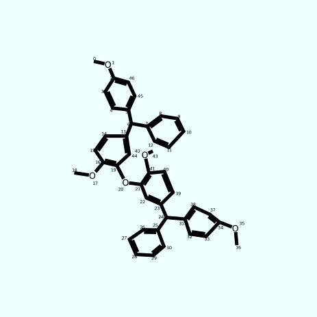 COc1ccc(C(c2ccccc2)c2ccc(OC)c(Oc3cc(C(c4ccccc4)c4ccc(OC)cc4)ccc3OC)c2)cc1